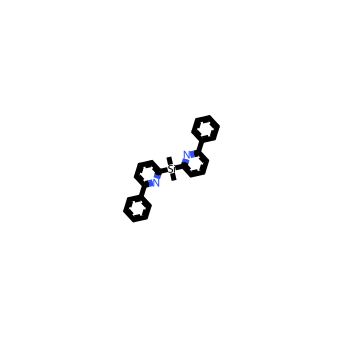 C[Si](C)(c1cccc(-c2ccccc2)n1)c1cccc(-c2ccccc2)n1